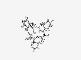 Cc1cc(Nc2nc(Nc3ccc4[nH]ncc4c3)c3sccc3n2)c2ccccc2n1